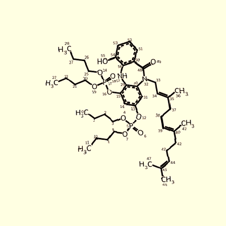 CCCCOP(=O)(OCCCC)Oc1cc(OP(=O)(OCCCC)OCCCC)c2c(c1)N(C/C=C(\C)CC/C=C(\C)CCC=C(C)C)C(=O)c1cccc(O)c1N2